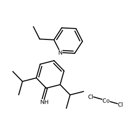 CC(C)C1=CC=CC(C(C)C)C1=N.CCc1ccccn1.[Cl][Co][Cl]